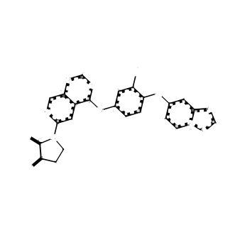 C=C1CCN(c2cc3c(Nc4ccc(Oc5ccn6ncnc6c5)c(C)c4)ncnc3cn2)C1=O